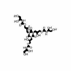 O=C(NC(O)CO)OCC(O)Cn1c(=O)n(CC(O)COC(=O)NC(O)CO)c(=O)n(CC(O)COC(=O)NC(O)CO)c1=O